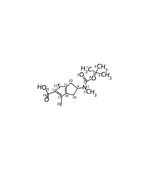 CN(C(=O)OC(C)(C)C)C1Cc2sc(C(=O)O)c(I)c2C1